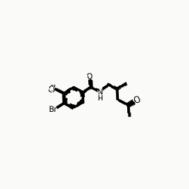 CC(=O)CC(C)CNC(=O)c1ccc(Br)c(Cl)c1